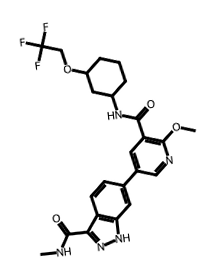 CNC(=O)c1n[nH]c2cc(-c3cnc(OC)c(C(=O)NC4CCCC(OCC(F)(F)F)C4)c3)ccc12